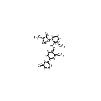 Cc1cc(-c2cc(Cl)ccn2)ccc1OCc1c(C)cccc1-n1nnn(C)c1=O